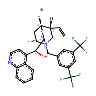 C=C[C@@H]1C[N@+]2(Cc3cc(C(F)(F)F)cc(C(F)(F)F)c3)CC[C@H]1C[C@@H]2[C@@H](O)c1ccnc2ccccc12.[Br-]